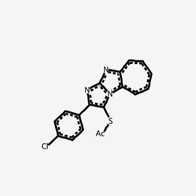 CC(=O)Sc1c(-c2ccc(Cl)cc2)nc2nc3cccccc3n12